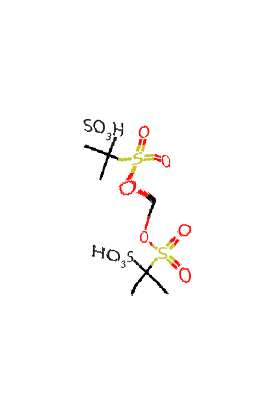 CC(C)(S(=O)(=O)O)S(=O)(=O)OCOS(=O)(=O)C(C)(C)S(=O)(=O)O